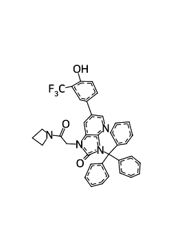 O=C(Cn1c(=O)n(C(c2ccccc2)(c2ccccc2)c2ccccc2)c2ncc(-c3ccc(O)c(C(F)(F)F)c3)cc21)N1CCC1